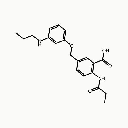 CCCNc1cccc(OCc2ccc(NC(=O)CC)c(C(=O)O)c2)c1